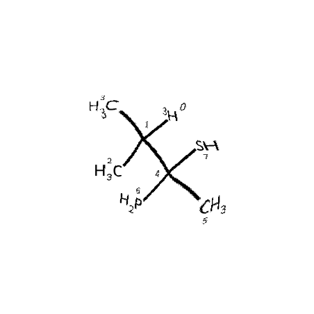 [3H]C(C)(C)C(C)(P)S